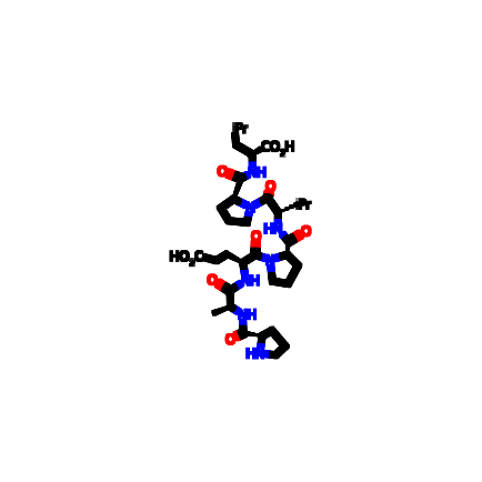 CC(C)C[C@H](NC(=O)[C@@H]1CCCN1C(=O)[C@@H](NC(=O)[C@@H]1CCCN1C(=O)[C@H](CCC(=O)O)NC(=O)[C@H](C)NC(=O)[C@@H]1CCCN1)C(C)C)C(=O)O